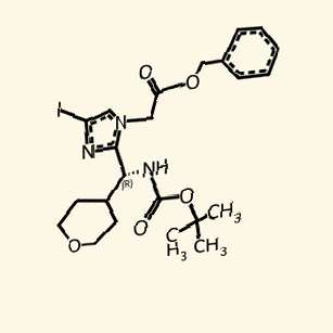 CC(C)(C)OC(=O)N[C@@H](c1nc(I)cn1CC(=O)OCc1ccccc1)C1CCOCC1